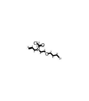 C=CCN(CCOCCCC)C(=O)Cl